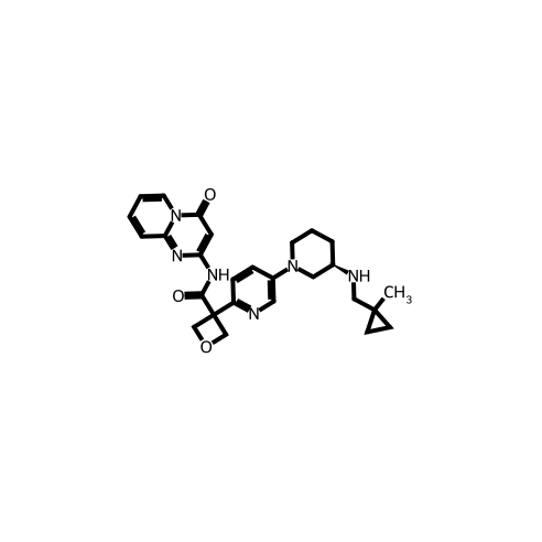 CC1(CN[C@@H]2CCCN(c3ccc(C4(C(=O)Nc5cc(=O)n6ccccc6n5)COC4)nc3)C2)CC1